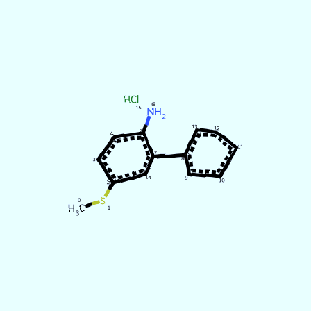 CSc1ccc(N)c(-c2ccccc2)c1.Cl